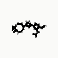 CC(C)Nc1cc(-c2nc(C3CCNC(=O)C4(CC4)OCC3)no2)ccc1C=N